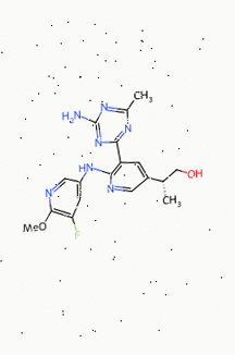 COc1ncc(Nc2ncc([C@@H](C)CO)cc2-c2nc(C)nc(N)n2)cc1F